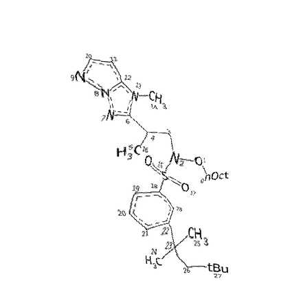 CCCCCCCCON(CC(C)c1nn2nccc2n1C)S(=O)(=O)c1cccc(C(C)(C)CC(C)(C)C)c1